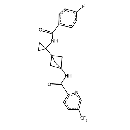 O=C(NC1(C23CC(NC(=O)c4ccc(C(F)(F)F)cn4)(C2)C3)CC1)c1ccc(F)cc1